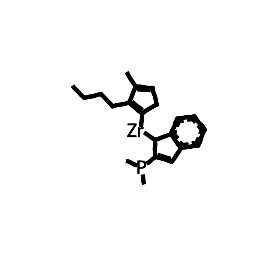 CCCCC1=[C]([Zr][CH]2C(P(C)C)=Cc3ccccc32)CC=C1C